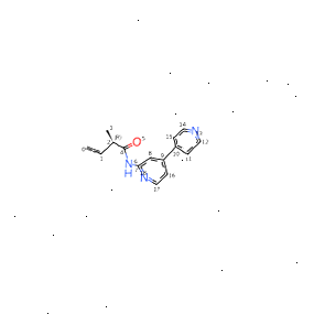 C=C[C@@H](C)C(=O)Nc1cc(-c2ccncc2)ccn1